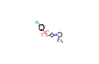 CC1CCCN1C1CC(OS(=O)(=O)c2ccc(Br)cc2)C1